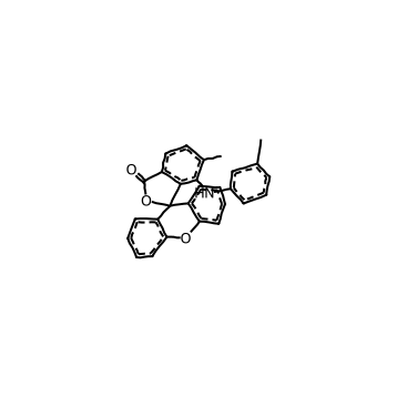 Cc1cccc(Nc2c(C)ccc3c2C2(OC3=O)c3ccccc3Oc3ccccc32)c1